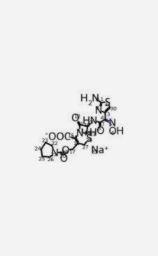 Nc1nc(/C(=N/O)C(=O)NC2C(=O)N3C(C(=O)[O-])=C(COC(=O)N4CCCCC4)CS[C@H]23)cs1.[Na+]